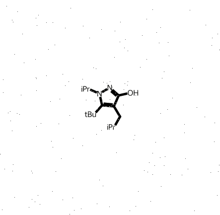 CC(C)Cc1c(O)nn(C(C)C)c1C(C)(C)C